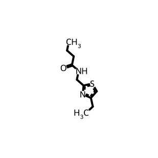 CCCC(=O)NCc1nc(CC)cs1